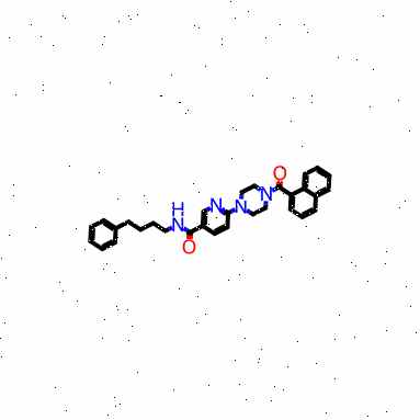 O=C(NCCCCc1ccccc1)c1ccc(N2CCN(C(=O)c3cccc4ccccc34)CC2)nc1